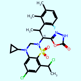 Cc1ccc(F)c(C(C)[C@@H](c2n[nH]c(=O)o2)N2CN(C3CC3)c3cc(Cl)cc(C(C)Cl)c3S2(=O)=O)c1C